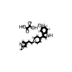 Cn1cc(CCN2CCC(c3c[nH]c4ccc(O)cc34)CC2)cn1.O=C(O)C(=O)O